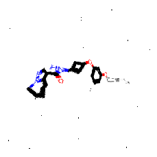 O=C(NC1CC(Oc2cccc(OC(F)(F)F)c2)C1)c1cnn2ccccc12